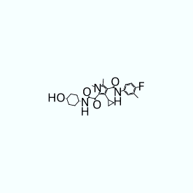 Cc1cc(NC(=O)c2c(C3CC3)c(C(=O)C(=O)N[C@H]3CC[C@@H](O)CC3)n(C)c2C)ccc1F